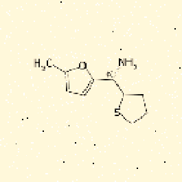 Cc1ccc([C@H](N)C2CCCS2)o1